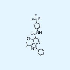 CC(C)c1nn(-c2ccccc2)c2ncc(C(=O)Nc3ccc(C(F)(F)F)cc3)c(Cl)c12